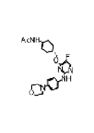 CC(=O)N[C@H]1CC[C@H](COc2nc(Nc3ccc(N4CCOCC4)cc3)ncc2F)CC1